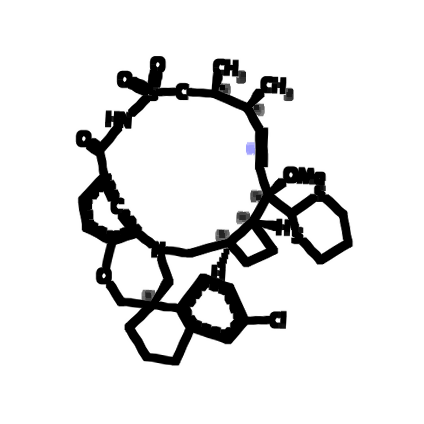 CO[C@]1(C2SCCCS2)/C=C/[C@H](C)[C@H](C)CS(=O)(=O)NC(=O)c2ccc3c(c2)N(C[C@@H]2CC[C@H]21)C[C@@]1(CCCc2cc(Cl)ccc21)CO3